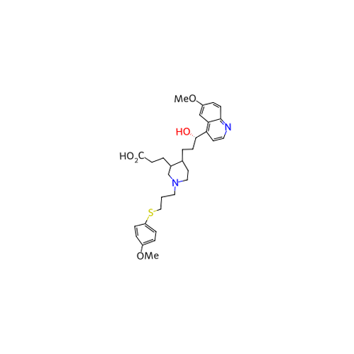 COc1ccc(SCCCN2CCC(CC[C@H](O)c3ccnc4ccc(OC)cc34)C(CCC(=O)O)C2)cc1